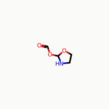 O=COC1NCCO1